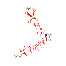 O.O.O.O.O.O.O.O.O.O=S(=O)(O)O.O=S(=O)([O-])[O-].O=S(=O)([O-])[O-].[Fe+2].[Fe+2]